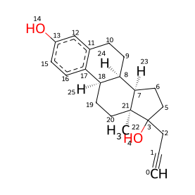 C#C[CH]C1(O)CC[C@@H]2[C@@H]3CCc4cc(O)ccc4[C@@H]3CC[C@@]21C